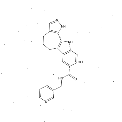 Cl.O=C(NCc1cccnc1)c1ccc2[nH]c3c(c2c1)CCCc1cn[nH]c1-3